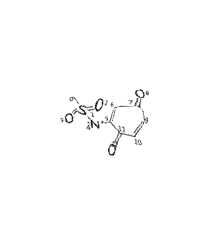 CS(=O)(=O)[N+]C1=CC(=O)C=CC1=O